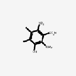 COc1c(O)c(C)c(C)c([N+](=O)[O-])c1C(=O)O